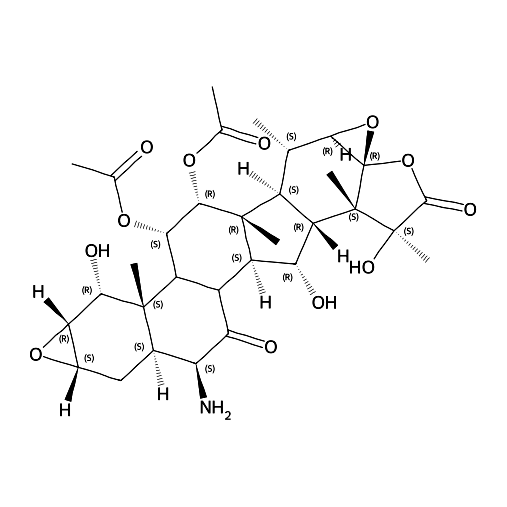 CC(=O)O[C@H]1C2C(C(=O)[C@@H](N)[C@H]3C[C@@H]4O[C@@H]4[C@H](O)[C@]23C)[C@@H]2[C@@H](O)[C@@H]3[C@H]([C@H](C)[C@H]4O[C@]45OC(=O)[C@@](C)(O)[C@]35C)[C@@]2(C)[C@H]1OC(C)=O